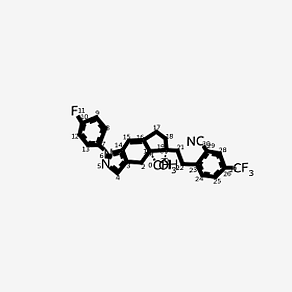 C[C@]12Cc3cnn(-c4ccc(F)cc4)c3C=C1CC[C@@]2(O)CCc1ccc(C(F)(F)F)cc1C#N